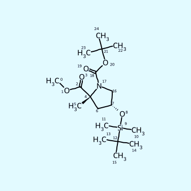 COC(=O)[C@@]1(C)C[C@@H](O[Si](C)(C)C(C)(C)C)CN1C(=O)OC(C)(C)C